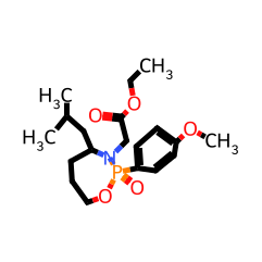 CCOC(=O)CN1C(CC(C)C)CCCOP1(=O)c1ccc(OC)cc1